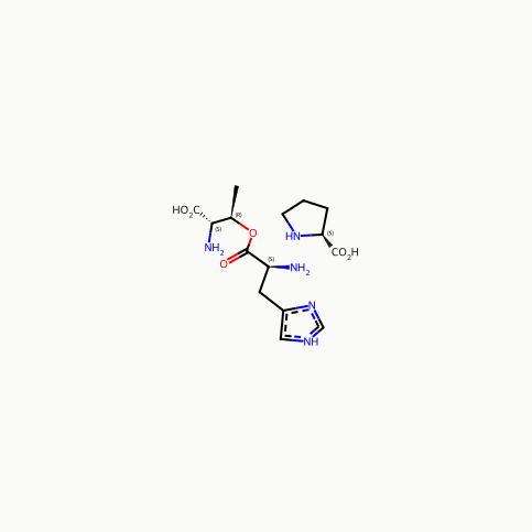 C[C@@H](OC(=O)[C@@H](N)Cc1c[nH]cn1)[C@H](N)C(=O)O.O=C(O)[C@@H]1CCCN1